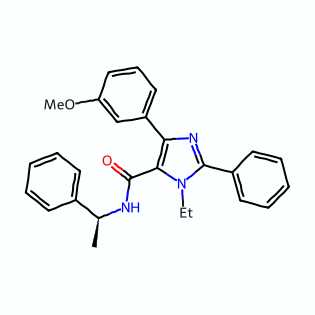 CCn1c(-c2ccccc2)nc(-c2cccc(OC)c2)c1C(=O)N[C@@H](C)c1ccccc1